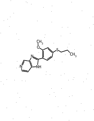 CCCSc1ccc(-c2nc3cnccc3[nH]2)c(OC)c1